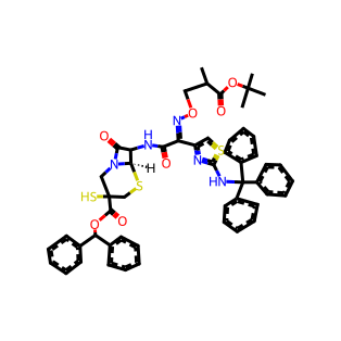 CC(CON=C(C(=O)NC1C(=O)N2CC(S)(C(=O)OC(c3ccccc3)c3ccccc3)CS[C@H]12)c1csc(NC(c2ccccc2)(c2ccccc2)c2ccccc2)n1)C(=O)OC(C)(C)C